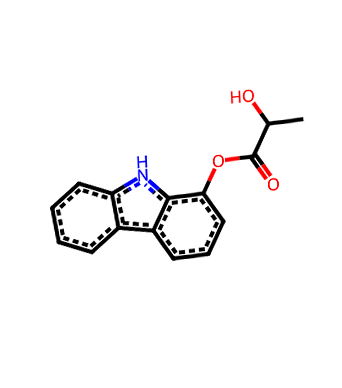 CC(O)C(=O)Oc1cccc2c1[nH]c1ccccc12